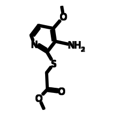 COC(=O)CSc1nccc(OC)c1N